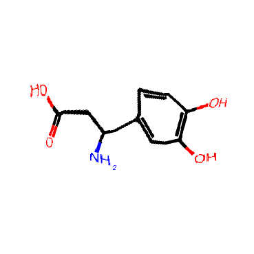 NC(CC(=O)O)c1ccc(O)c(O)c1